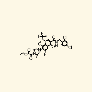 CCOC(=O)C(=O)N1[C@H](C)CN(c2c(F)cc3c(=O)c(C(=O)NCc4ccc(Cl)cc4Cl)cn(CC(F)(F)F)c3c2OC)C[C@@H]1C